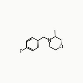 CC1COCCN1Cc1ccc(F)cc1